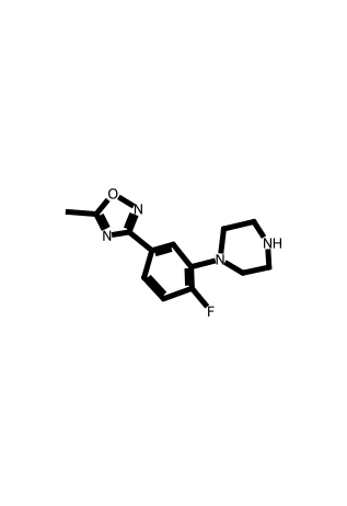 Cc1nc(-c2ccc(F)c(N3CCNCC3)c2)no1